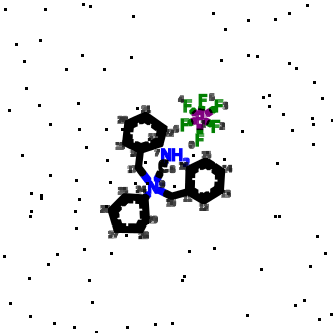 F[P-](F)(F)(F)(F)F.NC[N+](Cc1ccccc1)(Cc1ccccc1)c1ccccc1